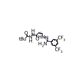 CC(C)(C)C(=O)NNC(=O)/C=C\N/N=C(\N)c1cc(C(F)(F)F)cc(C(F)(F)F)c1